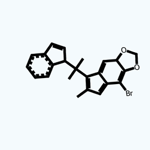 CC1=C(C(C)(C)C2C=Cc3ccccc32)C2=CC3OCOC3=C(Br)C2=C1